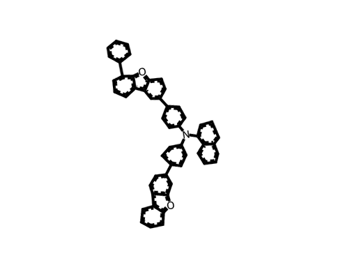 c1ccc(-c2cccc3c2oc2ccc(-c4ccc(N(c5ccc(-c6ccc7c(c6)oc6ccccc67)cc5)c5cccc6ccccc56)cc4)cc23)cc1